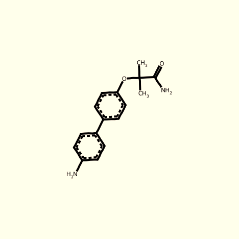 CC(C)(Oc1ccc(-c2ccc(N)cc2)cc1)C(N)=O